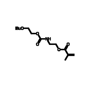 C=C(C)C(=O)OCCNC(=O)OCCOCC(C)C